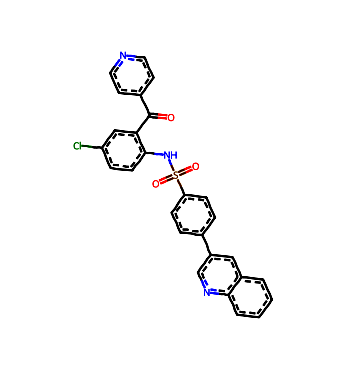 O=C(c1ccncc1)c1cc(Cl)ccc1NS(=O)(=O)c1ccc(-c2cnc3ccccc3c2)cc1